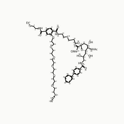 CCSCCNC(=O)c1ccc(C(=O)NCCSCCCO[C@]2(C(=O)OC)C[C@H](O)[C@@H](NC(C)=O)[C@H]([C@H](O)[C@H](O)CNC(=O)c3ccc(-c4ccccc4)cc3)O2)c(OCCOCCOCCOCCOCCOCCN=[N+]=[N-])c1